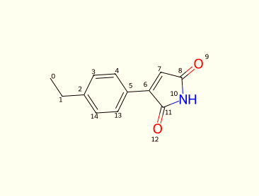 CCc1ccc(C2=CC(=O)NC2=O)cc1